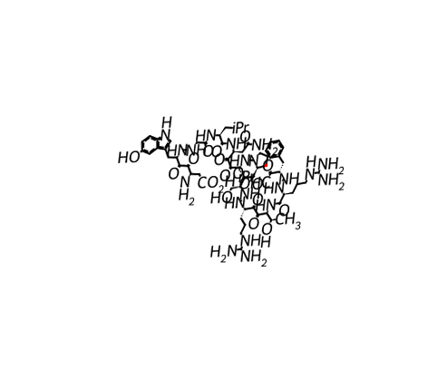 CC(C)C[C@H](NC(=O)CNNC(Cc1c[nH]c2ccc(O)cc12)C(=O)C(=O)[C@@H](N)CC(=O)O)C(=O)N[C@@H](CC(N)=O)C(=O)C(=O)[C@@H](NN1CCC[C@H]1C(=O)C(=O)[C@H](CO)NN[C@@H](CCCNC(N)N)C(=O)C(=O)[C@@H](NC(=O)[C@H](CCCNC(N)N)NN[C@@H](Cc1ccccc1)C(=O)C=O)[C@@H](C)O)C(C)C